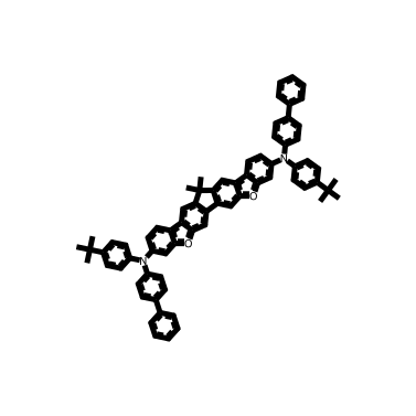 CC(C)(C)c1ccc(N(c2ccc(-c3ccccc3)cc2)c2ccc3c(c2)oc2cc4c(cc23)C(C)(C)c2cc3c(cc2-4)oc2cc(N(c4ccc(-c5ccccc5)cc4)c4ccc(C(C)(C)C)cc4)ccc23)cc1